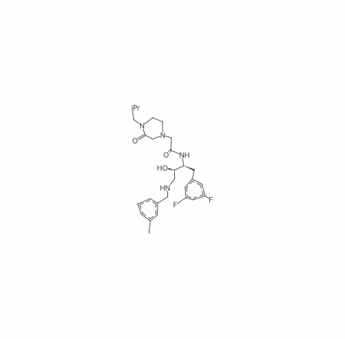 CC(C)CN1CCN(CC(=O)N[C@@H](Cc2cc(F)cc(F)c2)[C@H](O)CNCc2cccc(I)c2)CC1=O